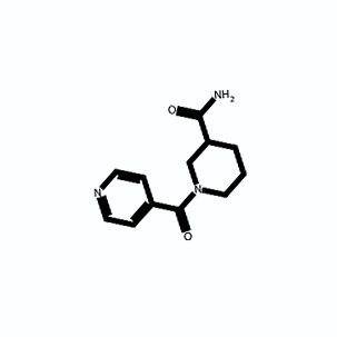 NC(=O)C1CCCN(C(=O)c2ccncc2)C1